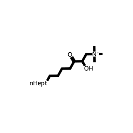 CCCCCCCCCCCC(=O)C(O)C[N+](C)(C)C